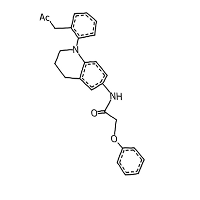 CC(=O)Cc1ccccc1N1CCCc2cc(NC(=O)COc3ccccc3)ccc21